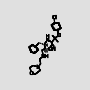 CC(C)(Oc1ccc(Cl)cc1)C(=O)N[C@@H](Cc1ccccc1)[C@H](O)CNCCN1CCOCC1